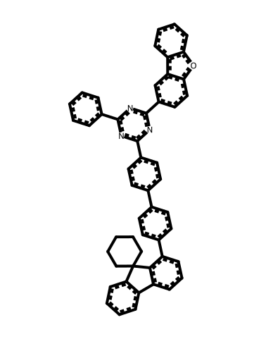 c1ccc(-c2nc(-c3ccc(-c4ccc(-c5cccc6c5C5(CCCCC5)c5ccccc5-6)cc4)cc3)nc(-c3ccc4oc5ccccc5c4c3)n2)cc1